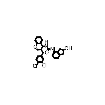 O=C(Nc1cccc2c1CC(O)C2)NC1c2ccccc2OCC1Cc1ccc(Cl)c(Cl)c1